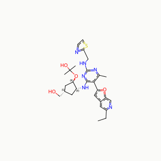 CCc1cc2cc(-c3c(C)nc(NCc4nccs4)nc3N[C@@H]3C[C@H](CO)C[C@H]3OC(C)(C)O)oc2cn1